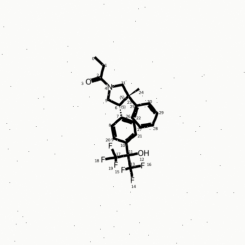 CCC(=O)N1C[C@@H](c2ccc(C(O)(C(F)(F)F)C(F)(F)F)cc2)[C@@](C)(c2ccccc2)C1